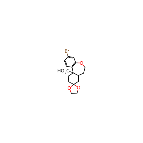 O=C(O)C12CCC3(CC1CCOc1cc(Br)ccc12)OCCO3